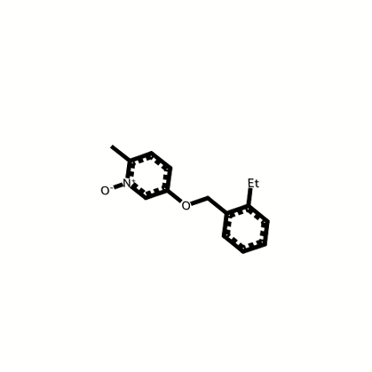 CCc1ccccc1COc1ccc(C)[n+]([O-])c1